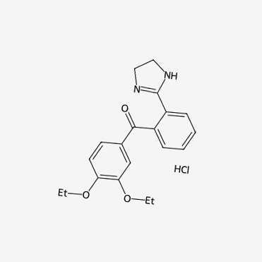 CCOc1ccc(C(=O)c2ccccc2C2=NCCN2)cc1OCC.Cl